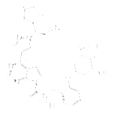 CN(Cc1ccccc1O[C@H]1C[C@@H](O)C[C@@H](C(=O)O)O1)C(=O)n1ccc2c(-c3cnn([C@H](CC#N)C4CCCC4)c3)ncnc21